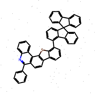 c1ccc(-c2nc3ccccc3c3c2ccc2c4cccc(-c5cccc6c5-c5ccccc5C65c6ccccc6-c6ccccc65)c4sc23)cc1